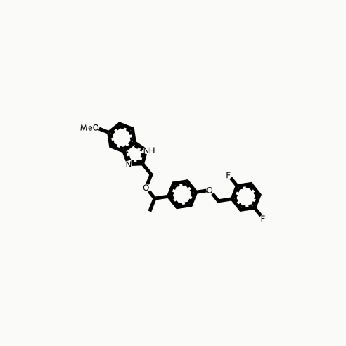 COc1ccc2[nH]c(COC(C)c3ccc(OCc4cc(F)ccc4F)cc3)nc2c1